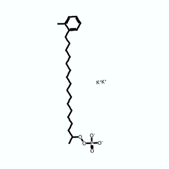 Cc1ccccc1CCCCCCCCCCCCCCCC(C)OOP(=O)([O-])[O-].[K+].[K+]